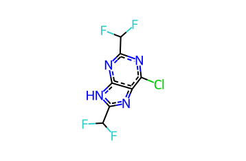 FC(F)c1nc(Cl)c2nc(C(F)F)[nH]c2n1